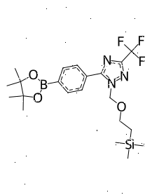 CC1(C)OB(c2ccc(-c3nc(C(F)(F)F)nn3COCC[Si](C)(C)C)cc2)OC1(C)C